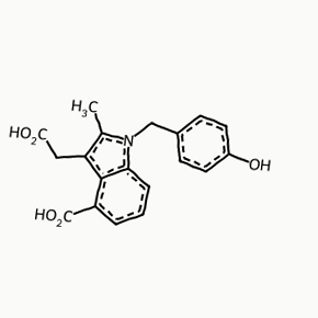 Cc1c(CC(=O)O)c2c(C(=O)O)cccc2n1Cc1ccc(O)cc1